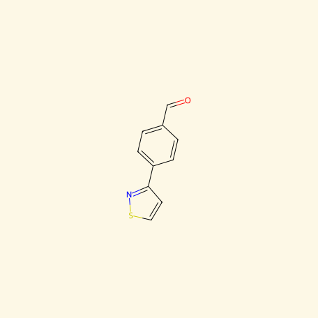 O=Cc1ccc(-c2ccsn2)cc1